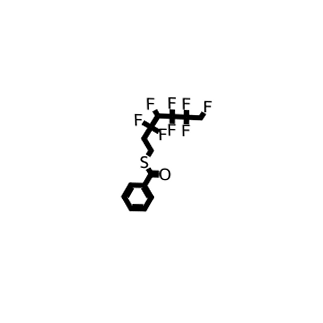 O=C(SCCC(F)(F)C(F)C(F)(F)C(F)(F)CF)c1ccccc1